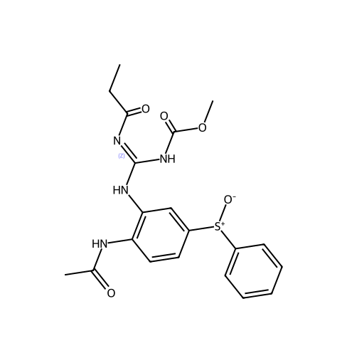 CCC(=O)/N=C(\NC(=O)OC)Nc1cc([S+]([O-])c2ccccc2)ccc1NC(C)=O